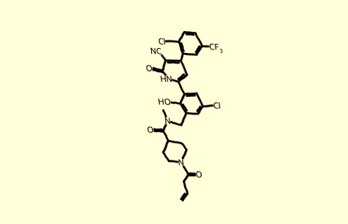 C=CCC(=O)N1CCC(C(=O)N(C)Cc2cc(Cl)cc(-c3cc(-c4cc(C(F)(F)F)ccc4Cl)c(C#N)c(=O)[nH]3)c2O)CC1